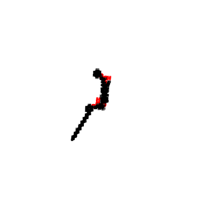 CCCC/C=C/CCCCCCCCCc1cccc(OCC(O)CC(C)(C)Oc2ccc(C(C)(C)c3ccc(C(C)(CC)OCC(O)COc4ccccc4)cc3)cc2)c1